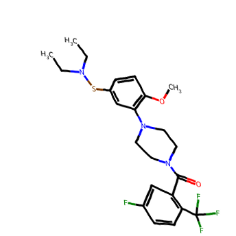 CCN(CC)Sc1ccc(OC)c(N2CCN(C(=O)c3cc(F)ccc3C(F)(F)F)CC2)c1